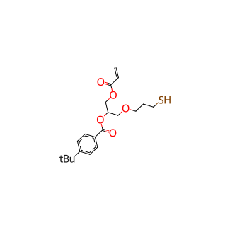 C=CC(=O)OCC(COCCCS)OC(=O)c1ccc(C(C)(C)C)cc1